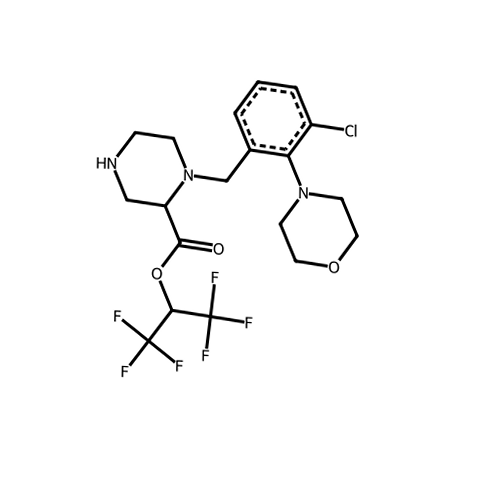 O=C(OC(C(F)(F)F)C(F)(F)F)C1CNCCN1Cc1cccc(Cl)c1N1CCOCC1